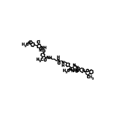 Cc1ccc(Oc2nc3cc(-c4ccc5c(ccn5C)c4)c(Cl)cc3[nH]2)cc1C(=O)NCCCCCNC(=O)CNCc1ccc(-c2c3ncn(CC4(O)CCN(C(=O)C[C@@H](C)c5ccccc5)CC4)c(=O)c3nn2C)cc1